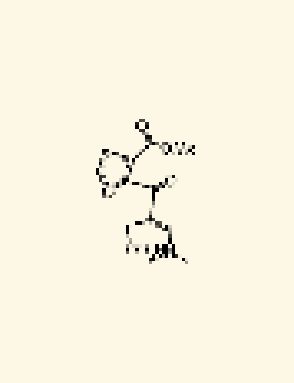 COC(=O)c1ccoc1C(=O)C(=CN(C)C)CC(=O)O